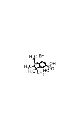 CC[N+]1=C(C)C(C)(C)c2cc(P(=O)(O)O)ccc21.[Br-]